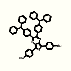 CC(C)(C)c1ccc(-c2sc(-c3ccc(C(C)(C)C)cc3)c3nc(-c4ccc(C(c5ccccc5)c5ccccc5)cc4)c(-c4ccc(C(c5ccccc5)c5ccccc5)cc4)nc23)cc1